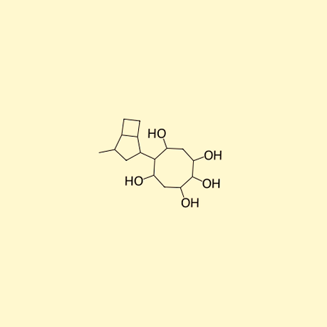 CC1CC(C2C(O)CC(O)C(O)C(O)CC2O)C2CCC12